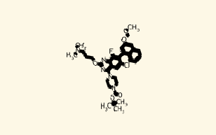 COCOc1cc(-c2c(Cl)cc3c(N4CCN(C(=O)OC(C)(C)C)CC4)nc(OCCCN(C)C)nc3c2F)c2ccccc2c1